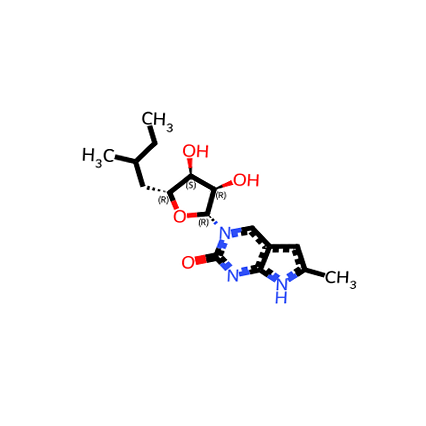 CCC(C)C[C@H]1O[C@@H](n2cc3cc(C)[nH]c3nc2=O)[C@H](O)[C@@H]1O